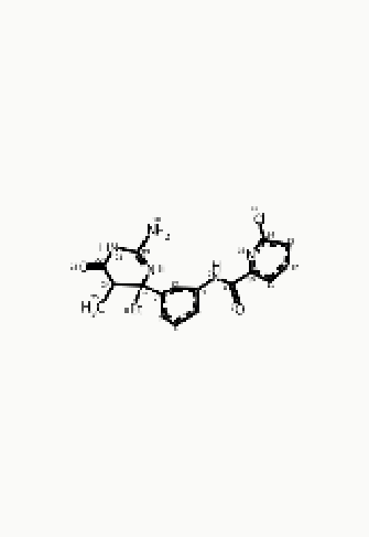 CC[C@]1(c2cccc(NC(=O)c3cccc(Cl)n3)c2)N=C(N)NC(=O)C1C